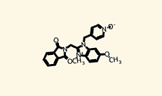 COc1ccc2c(c1)n(Cc1cc[n+]([O-])cc1)c(CN1C(=O)c3ccccc3C1=O)[n+]2C